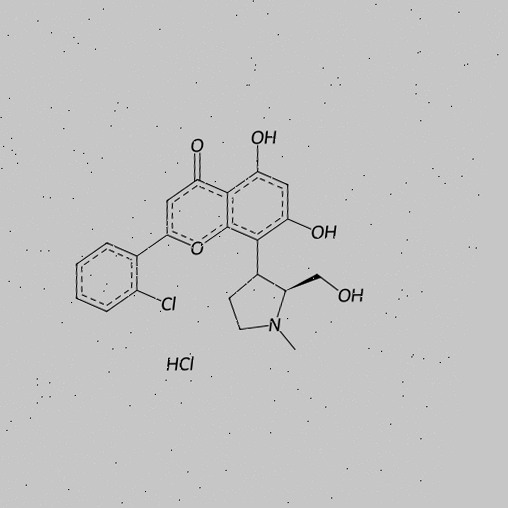 CN1CCC(c2c(O)cc(O)c3c(=O)cc(-c4ccccc4Cl)oc23)[C@H]1CO.Cl